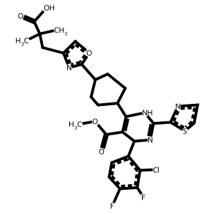 COC(=O)C1=C(C2CCC(c3nc(CC(C)(C)C(=O)O)co3)CC2)NC(c2nccs2)=NC1c1ccc(F)c(F)c1Cl